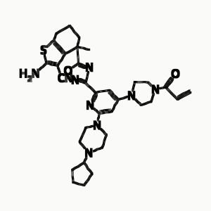 C=CC(=O)N1CCN(c2cc(-c3noc(C4(C)CCCc5sc(N)c(C#N)c54)n3)nc(N3CCN(C4CCCC4)CC3)c2)CC1